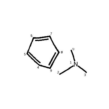 CN(C)C.[c]1ccccc1